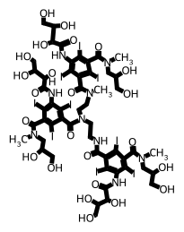 CN(CC(O)CO)C(=O)c1c(I)c(NC(=O)C(O)C(O)CO)c(I)c(C(=O)NCCN(CCN(C)C(=O)c2c(I)c(NC(=O)C(O)C(O)CO)c(I)c(C(=O)N(C)CC(O)CO)c2I)C(=O)c2c(I)c(NC(=O)C(O)C(O)CO)c(I)c(C(=O)N(C)CC(O)CO)c2I)c1I